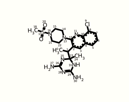 CC(c1cc2cccc(Cl)c2nc1N1CCN(S(C)(=O)=O)CC1)C1(C)N=C(N)N=C(N)N1